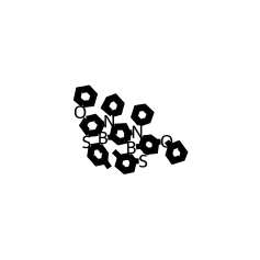 Cc1ccc2c(c1)B1c3cc4c(cc3N(c3ccccc3)c3cc(Oc5ccccc5)cc(c31)S2)N(c1ccccc1)c1cc(Oc2ccccc2)cc2c1B4c1c(C)cccc1S2